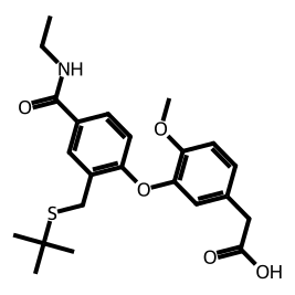 CCNC(=O)c1ccc(Oc2cc(CC(=O)O)ccc2OC)c(CSC(C)(C)C)c1